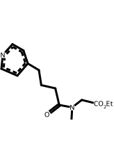 CCOC(=O)CN(C)C(=O)CCCc1ccncc1